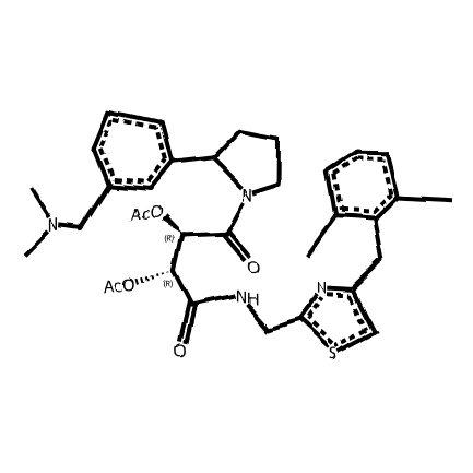 CC(=O)O[C@@H](C(=O)NCc1nc(Cc2c(C)cccc2C)cs1)[C@@H](OC(C)=O)C(=O)N1CCCC1c1cccc(CN(C)C)c1